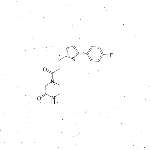 O=C1CN(C(=O)CCc2ccc(-c3ccc(F)cc3)s2)CCN1